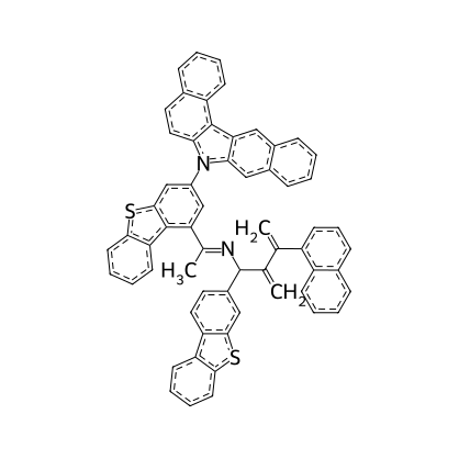 C=C(C(=C)C(/N=C(\C)c1cc(-n2c3cc4ccccc4cc3c3c4ccccc4ccc32)cc2sc3ccccc3c12)c1ccc2c(c1)sc1ccccc12)c1cccc2ccccc12